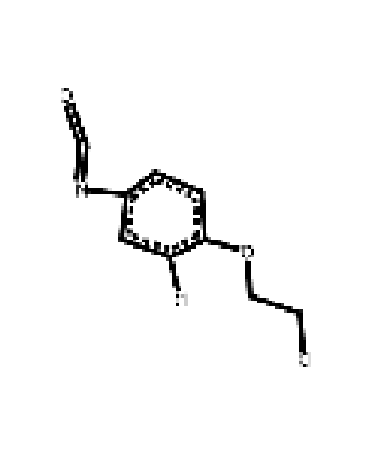 O=C=Nc1ccc(OCCCl)c(Cl)c1